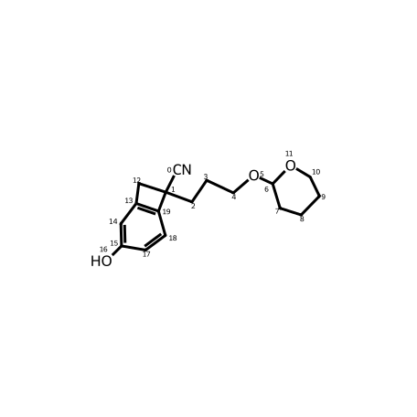 N#CC1(CCCOC2CCCCO2)Cc2cc(O)ccc21